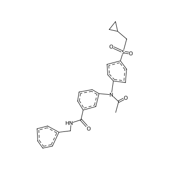 CC(=O)N(c1ccc(S(=O)(=O)CC2CC2)cc1)c1cccc(C(=O)NCc2ccccc2)c1